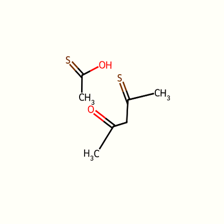 CC(=O)CC(C)=S.CC(O)=S